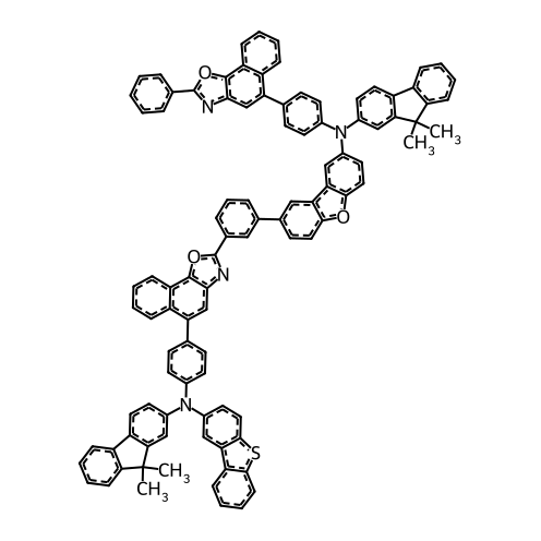 CC1(C)c2ccccc2-c2ccc(N(c3ccc(-c4cc5nc(-c6ccccc6)oc5c5ccccc45)cc3)c3ccc4oc5ccc(-c6cccc(-c7nc8cc(-c9ccc(N(c%10ccc%11c(c%10)C(C)(C)c%10ccccc%10-%11)c%10ccc%11sc%12ccccc%12c%11c%10)cc9)c9ccccc9c8o7)c6)cc5c4c3)cc21